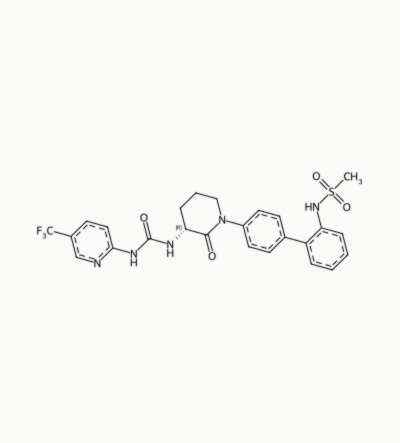 CS(=O)(=O)Nc1ccccc1-c1ccc(N2CCC[C@@H](NC(=O)Nc3ccc(C(F)(F)F)cn3)C2=O)cc1